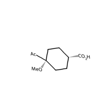 CO[C@]1(C(C)=O)CC[C@H](C(=O)O)CC1